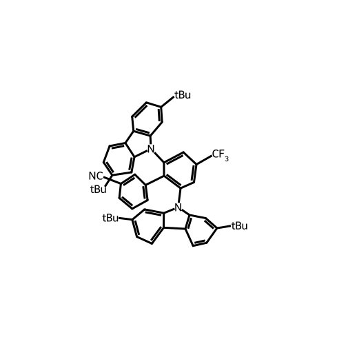 CC(C)(C)c1ccc2c3ccc(C(C)(C)C)cc3n(-c3cc(C(F)(F)F)cc(-n4c5cc(C(C)(C)C)ccc5c5ccc(C(C)(C)C)cc54)c3-c3cccc(C#N)c3)c2c1